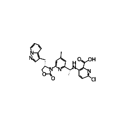 Cc1cc([C@@H](C)Nc2ccc(Cl)nc2C(=O)O)nc(N2C(=O)OC[C@@H]2Cc2cnn3ccccc23)c1